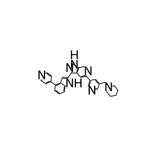 c1cc(-c2ccncc2)c2cc(-c3n[nH]c4cnc(-c5cncc(CN6CCCCC6)c5)cc34)[nH]c2c1